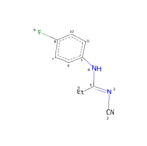 CC/C(=N\C#N)Nc1ccc(F)cc1